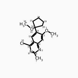 COc1cc2nc(C)nc(Cl)c2cc1C1(OC)CCCC1